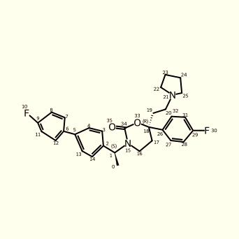 C[C@@H](c1ccc(-c2ccc(F)cc2)cc1)N1CC[C@](CCN2CCCC2)(c2ccc(F)cc2)OC1=O